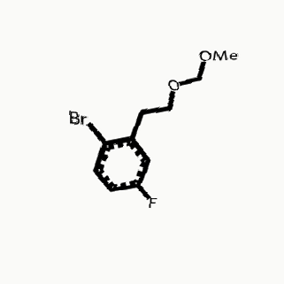 COCOCCc1cc(F)ccc1Br